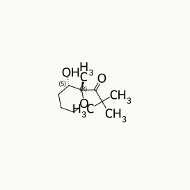 CC(C)(C)C(=O)[C@]1(C)OCCC[C@@H]1O